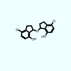 Oc1ccc(Cl)c2c1C(OC1CCc3c(Cl)ccc(O)c31)CC2